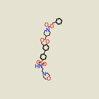 O=C(OCc1ccccc1)N1CCC(C2OCc3cc(-c4ccc(S(=O)(=O)NCCN5CCOCC5)cc4)ccc3O2)CC1